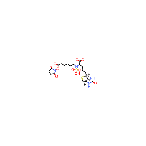 O=C1N[C@H]2[C@H](CS[C@H]2CCCC(C(=O)O)N(CCCCCC(=O)ON2C(=O)CCC2=O)S(=O)(=O)O)N1